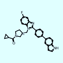 O=C(C1CC1)N1CC[C@@H](Cn2c(-c3ccc(-c4ccc5[nH]ccc5c4)cc3)nc3cc(F)ccc32)C1